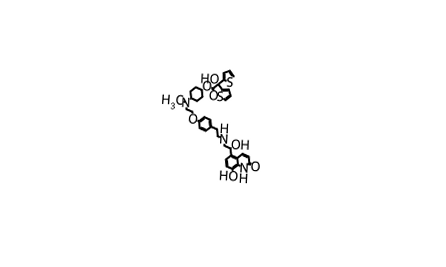 CN(CCOc1ccc(CCNC[C@H](O)c2ccc(O)c3[nH]c(=O)ccc23)cc1)[C@H]1CC[C@H](OC(=O)C(O)(c2cccs2)c2cccs2)CC1